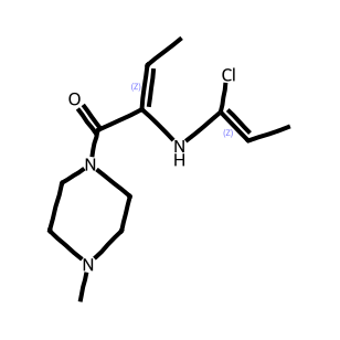 C/C=C(\Cl)N/C(=C\C)C(=O)N1CCN(C)CC1